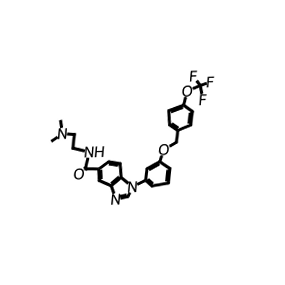 CN(C)CCNC(=O)c1ccc2c(c1)ncn2-c1cccc(OCc2ccc(OC(F)(F)F)cc2)c1